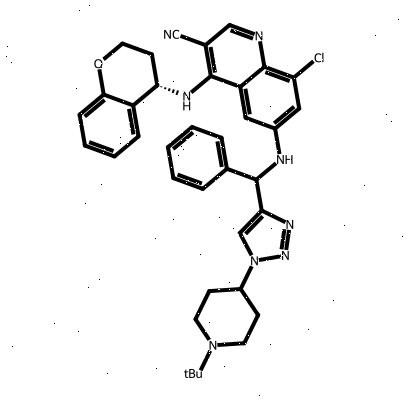 CC(C)(C)N1CCC(n2cc(C(Nc3cc(Cl)c4ncc(C#N)c(N[C@H]5CCOc6ccccc65)c4c3)c3ccccc3)nn2)CC1